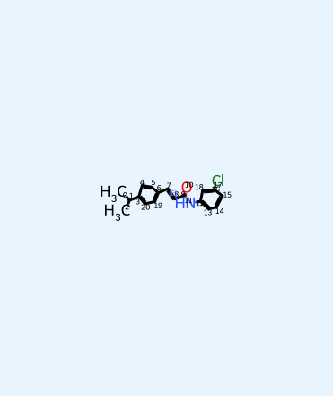 CC(C)c1ccc(/C=C/C(=O)Nc2cccc(Cl)c2)cc1